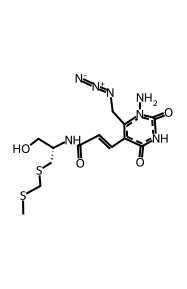 CSCSC[C@H](CO)NC(=O)/C=C/c1c(CN=[N+]=[N-])n(N)c(=O)[nH]c1=O